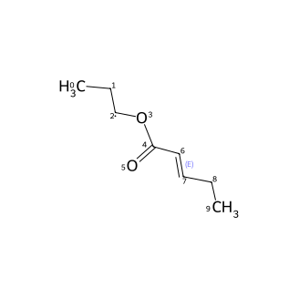 CC[CH]OC(=O)/C=C/CC